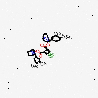 CC(=O)Oc1ccc(C[N+]2(C)C3CCC2CC(OC(=O)C2CCC2C(=O)O[C@H]2CC4CCC(C2)[N@@+]4(C)Cc2ccc(OC(C)=O)c(OC(C)=O)c2)C3)cc1OC(C)=O.[Br-].[Br-]